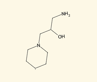 NCC(O)CN1CC[CH]CC1